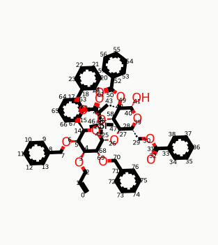 C=CCO[C@H]1[C@@H](OCc2ccccc2)[C@@H](COCc2ccccc2)O[C@H](O[C@H]2[C@@H](COC(=O)c3ccccc3)O[C@@H](O)[C@](CC[Si](C)(C)C)(OC(=O)c3ccccc3)[C@H]2OC(=O)c2ccccc2)[C@@H]1OCc1ccccc1